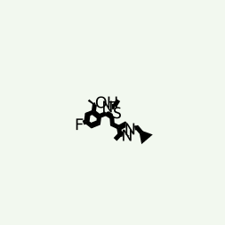 Cc1nc(-c2ccc(F)cc2[C@@H](C)O)c(Cc2cn(CC3CC3)nc2C)s1